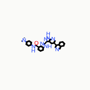 CN(C)c1ccc(NC(=O)c2cccc3[nH]c(-c4n[nH]c5ncc(-c6cncc7ccccc67)cc45)nc23)cc1